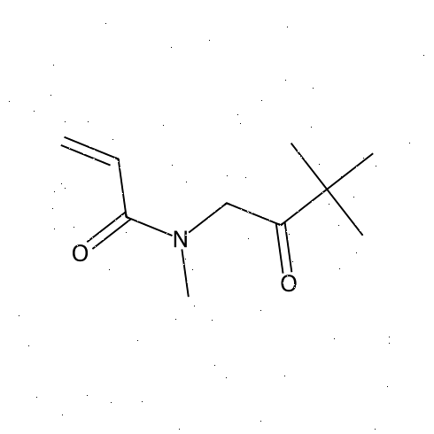 C=CC(=O)N(C)CC(=O)C(C)(C)C